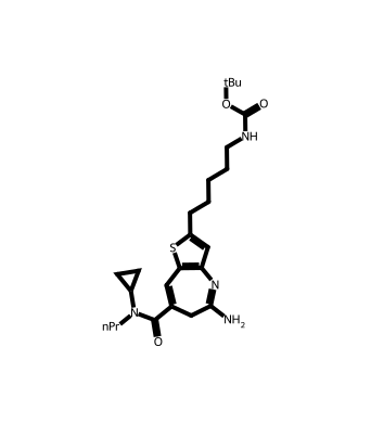 CCCN(C(=O)C1=Cc2sc(CCCCCNC(=O)OC(C)(C)C)cc2N=C(N)C1)C1CC1